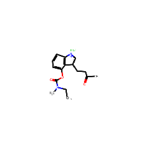 CCN(C)C(=O)Oc1cccc2c1C(CCC(C)=O)CN2.Cl